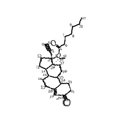 C#C[C@]1(OC(=O)CCCCCC)CCC2C3CCC4=CC(=O)CCC4C3CC[C@@]21CC